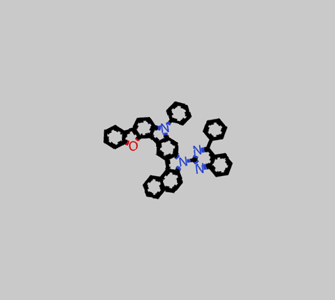 c1ccc(-c2nc(-n3c4cc5c(cc4c4c6ccccc6ccc43)c3c4oc6ccccc6c4ccc3n5-c3ccccc3)nc3ccccc23)cc1